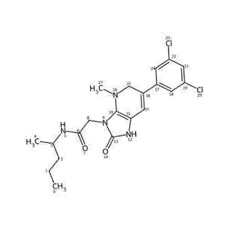 CCCC(C)NC(=O)Cn1c2c([nH]c1=O)C=C(c1cc(Cl)cc(Cl)c1)CN2C